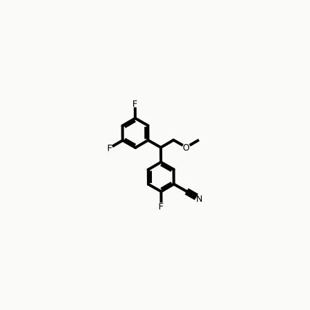 COCC(c1cc(F)cc(F)c1)c1ccc(F)c(C#N)c1